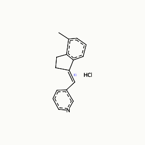 Cc1cccc2c1CC/C2=C\c1cccnc1.Cl